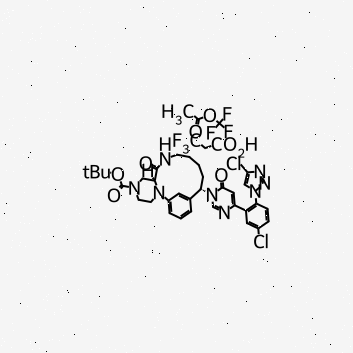 CC(=O)OC(F)(F)F.CC(C)(C)OC(=O)N1CCN2c3cccc(c3)[C@@H](n3cnc(-c4cc(Cl)ccc4-n4cc(Cl)nn4)cc3=O)CCCCNC(=O)[C@H]2C1.O=C(O)CC(F)(F)F